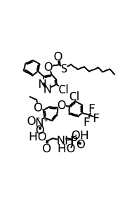 CCCCCCCCSC(=O)Oc1cc(Cl)nnc1-c1ccccc1.CCOc1cc(Oc2ccc(C(F)(F)F)cc2Cl)ccc1[N+](=O)[O-].O=C(O)CNCP(=O)(O)O